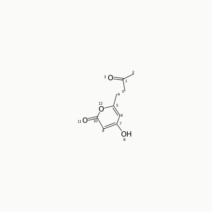 CC(C)=O.Cc1cc(O)cc(=O)o1